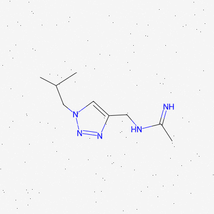 CC(=N)NCc1cn(CC(C)C)nn1